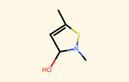 CC1=CC(O)N(C)S1